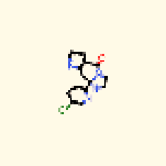 O=C1c2cccnc2CC2(c3ccc(Cl)cn3)NCCN12